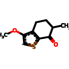 COc1[c]sc2c1CCC(C)C2=O